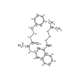 CN(C)CCCNc1nc(CN(C)C(=O)CCOc2ccccc2)nc2ccccc12